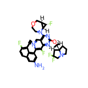 [2H]C([2H])(Oc1nc(N2CCOC[C@H]3[C@H](F)[C@H]32)c2cnc(-c3cc(N)cc4ccc(F)c(C#C)c34)c(F)c2n1)[C@@]12CCCN1CC(F)(F)C2